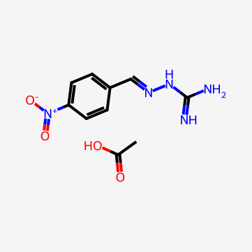 CC(=O)O.N=C(N)N/N=C/c1ccc([N+](=O)[O-])cc1